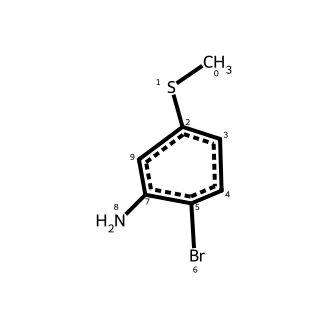 CSc1ccc(Br)c(N)c1